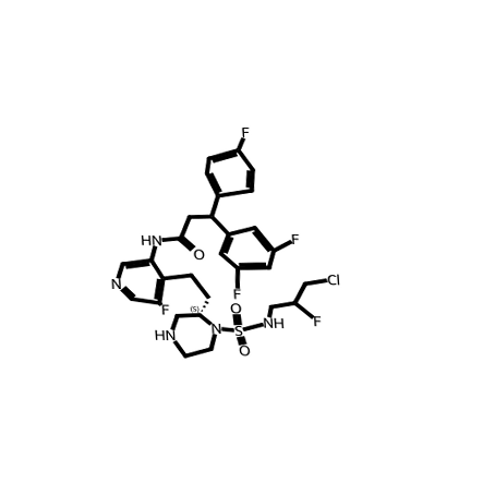 O=C(CC(c1ccc(F)cc1)c1cc(F)cc(F)c1)Nc1cncc(F)c1CC[C@H]1CNCCN1S(=O)(=O)NCC(F)CCl